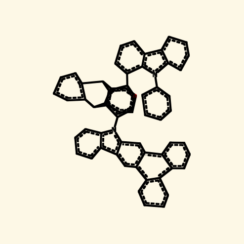 c1ccc(-n2c3ccccc3c3cccc(-c4ccc(-n5c6ccccc6c6cc7c8ccccc8c8ccccc8c7cc65)c5c4C4c6ccccc6C5c5ccccc54)c32)cc1